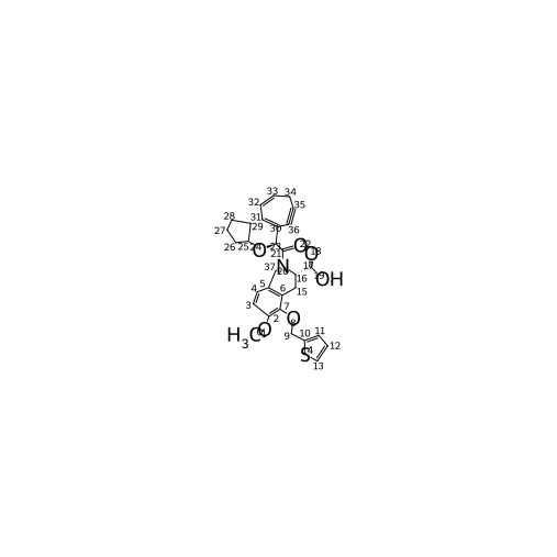 COc1ccc2c(c1OCc1cccs1)C[C@@H](C(=O)O)N(C(=O)[C@@H](OC1CCCC1)C1=CC=CCC#C1)C2